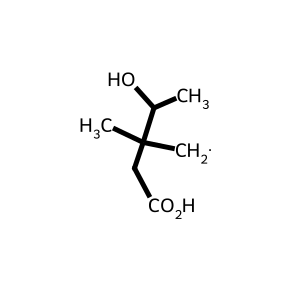 [CH2]C(C)(CC(=O)O)C(C)O